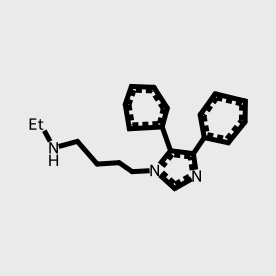 CCNCCCCn1cnc(-c2ccccc2)c1-c1ccccc1